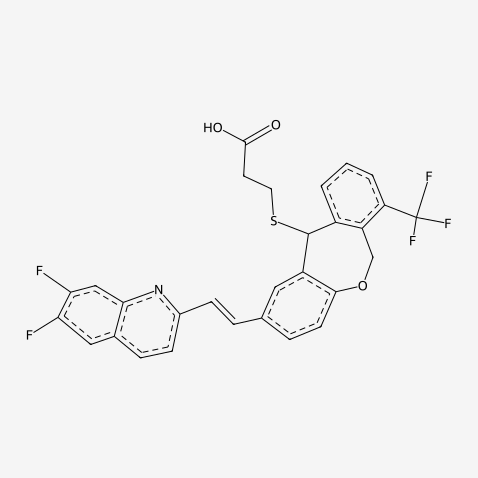 O=C(O)CCSC1c2cc(C=Cc3ccc4cc(F)c(F)cc4n3)ccc2OCc2c1cccc2C(F)(F)F